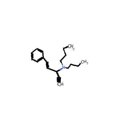 C#CC(C=Cc1ccccc1)N(CCCC)CCCC